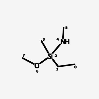 CC[Si](C)(NC)OC